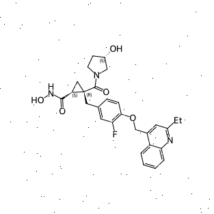 CCc1cc(COc2ccc(C[C@]3(C(=O)N4CC[C@H](O)C4)C[C@@H]3C(=O)NO)cc2F)c2ccccc2n1